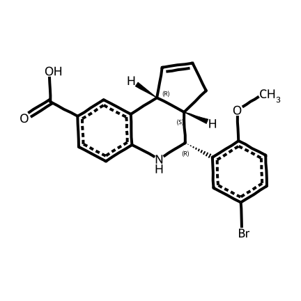 COc1ccc(Br)cc1[C@@H]1Nc2ccc(C(=O)O)cc2[C@@H]2C=CC[C@@H]21